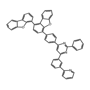 c1ccc(-c2nc(-c3ccc(-c4ccc(-c5cccc6c5oc5ccccc56)c5c4oc4ccccc45)cc3)cc(-c3cccc(-c4ccccn4)c3)n2)cc1